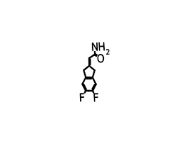 NC(=O)C=C1Cc2cc(F)c(F)cc2C1